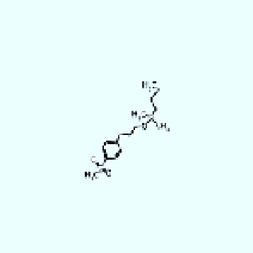 CCCC[Si](C)(C)OCCCc1ccc(S(C)(=O)=O)cc1